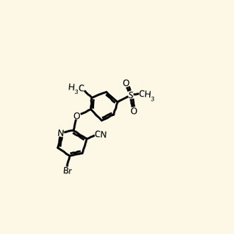 Cc1cc(S(C)(=O)=O)ccc1Oc1ncc(Br)cc1C#N